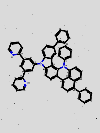 c1ccc(-c2ccc3c(c2)c2c4c(ccc2n3-c2cc(-c3ccccn3)cc(-c3ccccn3)c2)-c2ccc(-c3ccccc3)c3cccc(c23)N4c2ccccc2)cc1